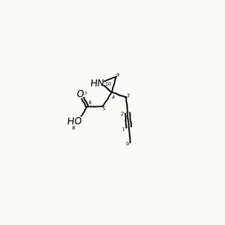 CC#CCC1(CC(=O)O)CN1